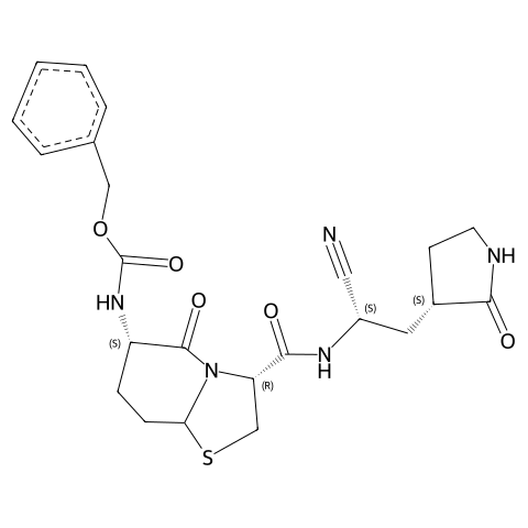 N#C[C@H](C[C@@H]1CCNC1=O)NC(=O)[C@@H]1CSC2CC[C@H](NC(=O)OCc3ccccc3)C(=O)N21